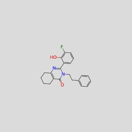 O=c1c2c(nc(-c3cccc(F)c3O)n1CCc1ccccc1)CCCC2